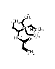 C=CC(=O)NC(CC)[N+](CC)(CC)CC.[Cl-]